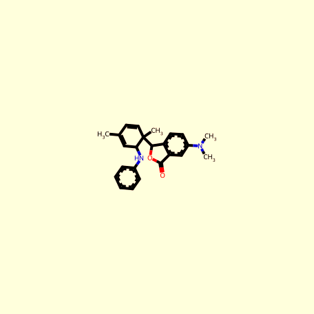 CC1=CC(Nc2ccccc2)C(C)(C2OC(=O)c3cc(N(C)C)ccc32)C=C1